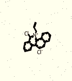 C=CC[n+]1c(Cl)c2ccccc2c2ccc3ccccc3c21.[Cl-]